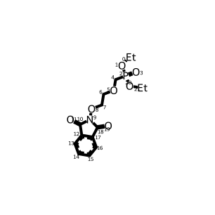 CCOP(=O)(COCCON1C(=O)c2ccccc2C1=O)OCC